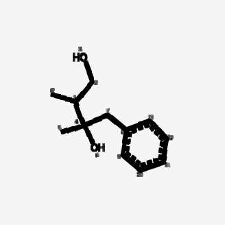 CC(CO)C(C)(O)Cc1ccccc1